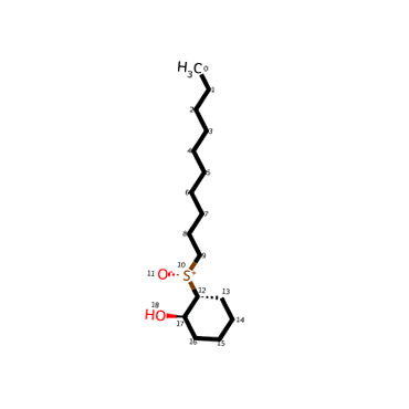 CCCCCCCCCC[S@@+]([O-])[C@@H]1CCCC[C@H]1O